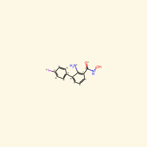 Nc1c(C(=O)NO)cccc1-c1ccc(I)cc1